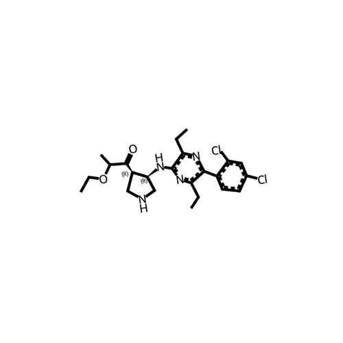 CCOC(C)C(=O)[C@@H]1CNC[C@@H]1Nc1nc(CC)c(-c2ccc(Cl)cc2Cl)nc1CC